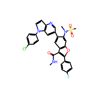 CNC(=O)c1c(-c2ccc(F)cc2)oc2cc(N(C)S(C)(=O)=O)c(-c3cnc4ccn(-c5ccc(Cl)cc5)c4c3)cc12